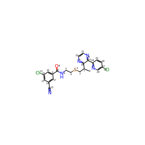 CC(CSCCNC(=O)c1cc(Cl)cc(C#N)c1)c1nccnc1-c1ccc(Cl)cn1